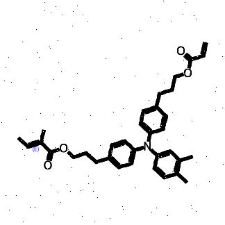 C=CC(=O)OCCCc1ccc(N(c2ccc(CCCOC(=O)/C(C)=C/C)cc2)c2ccc(C)c(C)c2)cc1